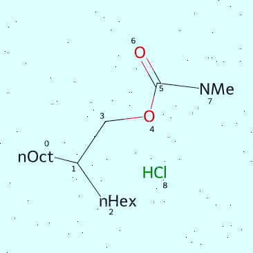 CCCCCCCCC(CCCCCC)COC(=O)NC.Cl